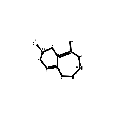 CC1=C2C[C@H](Cl)CC=C2CCNC1